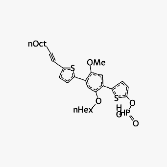 CCCCCCCCC#Cc1ccc(-c2cc(OCCCCCC)c(-c3ccc(O[PH](=O)O)s3)cc2OC)s1